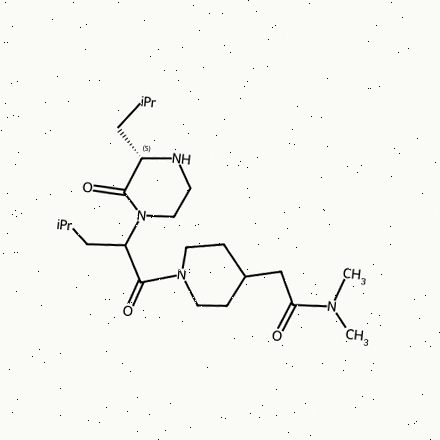 CC(C)CC(C(=O)N1CCC(CC(=O)N(C)C)CC1)N1CCN[C@@H](CC(C)C)C1=O